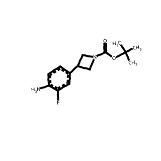 CC(C)(C)OC(=O)N1CC(c2ccc(N)c(F)c2)C1